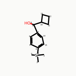 C[Si](C)(C)c1ccc(C(O)C2CCC2)cc1